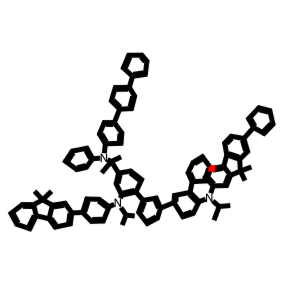 CC(C)N(c1ccc2c(c1)C(C)(C)c1cc(-c3ccccc3)ccc1-2)c1ccc(-c2cccc(-c3ccc(C(C)(C)N(c4ccccc4)c4ccc(-c5ccc(-c6ccccc6)cc5)cc4)cc3N(c3ccc(-c4ccc5c(c4)C(C)(C)c4ccccc4-5)cc3)C(C)C)c2)cc1-c1ccccc1